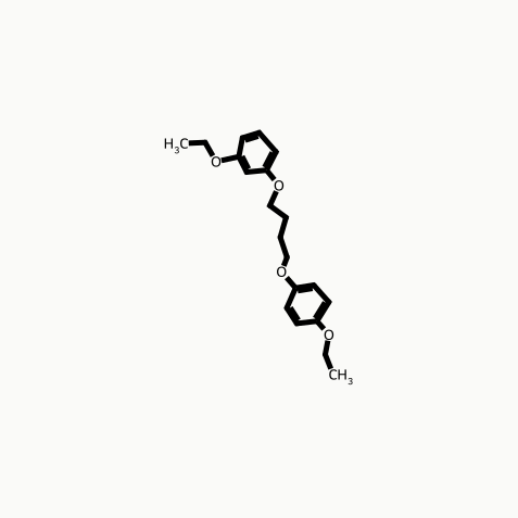 CCOc1ccc(OCCCCOc2cccc(OCC)c2)cc1